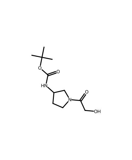 CC(C)(C)OC(=O)NC1CCN(C(=O)CO)C1